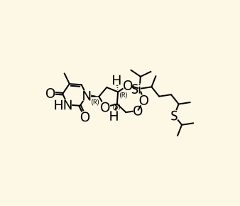 Cc1cn([C@H]2C[C@H]3O[Si](C(C)C)(C(C)CCC(C)SC(C)C)OOC[C@@H]3O2)c(=O)[nH]c1=O